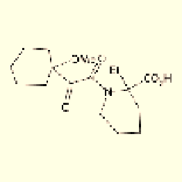 CCC1(C(=O)O)CCCCN1C(=O)C(=O)C1(OC)CCCCC1